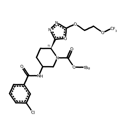 CC(C)(C)OC(=O)N1CC(NC(=O)c2cccc(Cl)c2)CC[C@H]1c1nnc(OCCOC(F)(F)F)o1